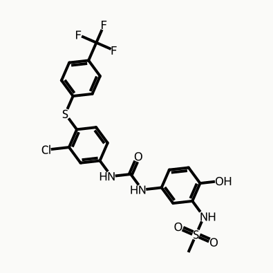 CS(=O)(=O)Nc1cc(NC(=O)Nc2ccc(Sc3ccc(C(F)(F)F)cc3)c(Cl)c2)ccc1O